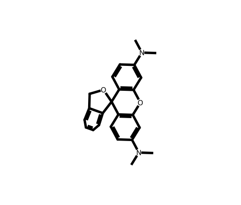 CN(C)c1ccc2c(c1)Oc1cc(N(C)C)ccc1C21OCc2ccccc21